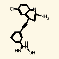 N=C(NO)c1cccc(C#Cc2cc(N)nc3ccc(Cl)cc23)c1